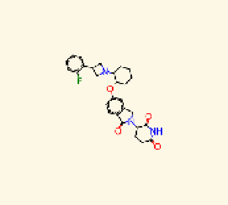 O=C1CCC(N2Cc3cc(O[C@H]4CCCC[C@@H]4N4CC(c5ccccc5F)C4)ccc3C2=O)C(=O)N1